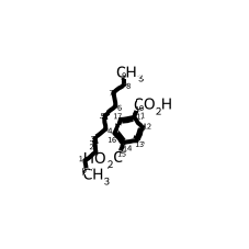 CCCCCCCCCC.O=C(O)c1ccc(C(=O)O)cc1